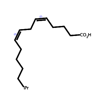 CC(C)CCCC/C=C\C/C=C\CCCC(=O)O